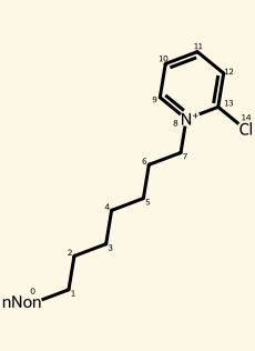 CCCCCCCCCCCCCCCC[n+]1ccccc1Cl